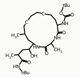 CCCCNC(=O)C(C)CC(O)C1CC(C)CCCCCCCC(NC(=O)OC(C)(C)C)C(=O)NC(C)C(=O)N1